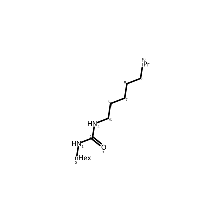 CCCCCCNC(=O)NCCCCCC(C)C